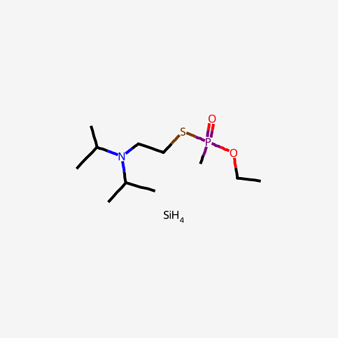 CCOP(C)(=O)SCCN(C(C)C)C(C)C.[SiH4]